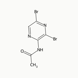 CC(=O)Nc1ncc(Br)nc1Br